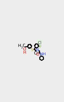 C=C(O)c1cccc(Sc2c(C)n(CC(=O)NC3CCCCC3)c3c(F)c(Cl)ccc23)c1